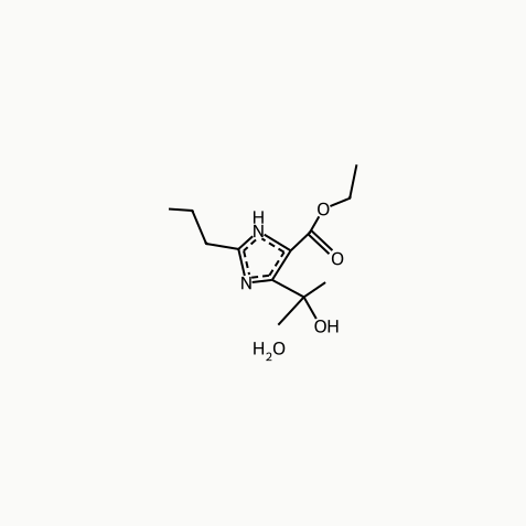 CCCc1nc(C(C)(C)O)c(C(=O)OCC)[nH]1.O